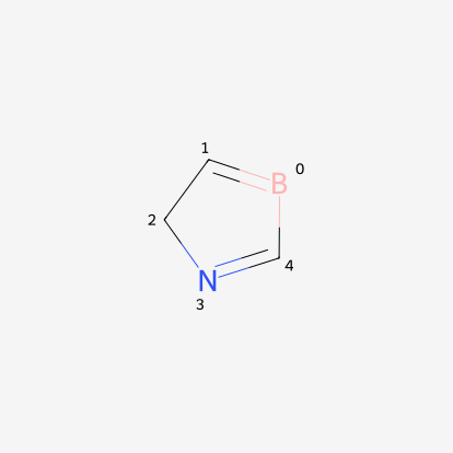 B1=CCN=C1